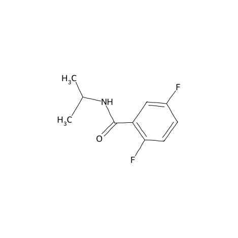 CC(C)NC(=O)c1cc(F)ccc1F